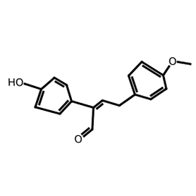 COc1ccc(CC=C(C=O)c2ccc(O)cc2)cc1